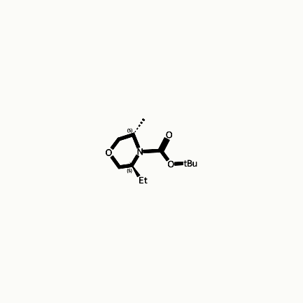 CC[C@H]1COC[C@H](C)N1C(=O)OC(C)(C)C